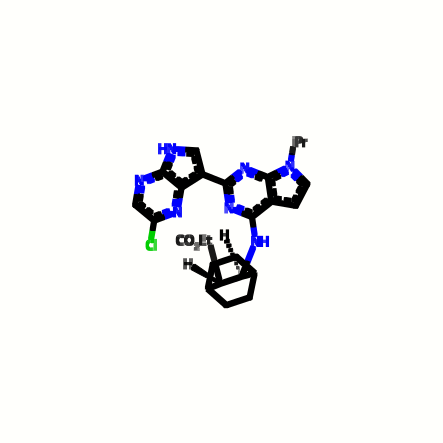 CCOC(=O)[C@H]1C2CCC(CC2)[C@@H]1Nc1nc(-c2c[nH]c3ncc(Cl)nc23)nc2c1ccn2C(C)C